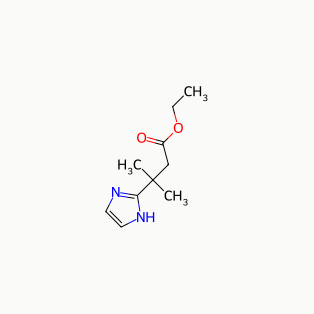 CCOC(=O)CC(C)(C)c1ncc[nH]1